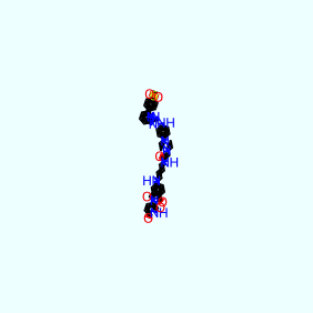 CS(=O)(=O)c1ccc(-c2cccc3nc(Nc4ccc(N5CCN(CC(=O)NCCCCNc6ccc7c(c6)C(=O)N(C6CCC(=O)NC6=O)C7=O)CC5)cc4)nn23)cc1